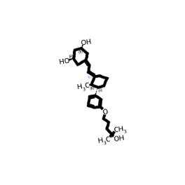 C[C@H]1/C(=C/C=C2C[C@@H](O)C[C@H](O)C2)CCC[C@@H]1c1cccc(OCCCC(C)(C)O)c1